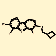 Oc1ccc2c(oc3c(F)c(OCC4CCC4)ccc32)c1F